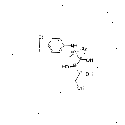 CCC(C)(C)c1ccc(N[C@@](C)(C(C)=O)[C@@H](O)[C@H](O)[C@H](O)CO)cc1